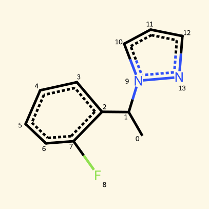 CC(c1ccccc1F)n1cccn1